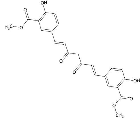 COC(=O)c1cc(C=CC(=O)CC(=O)C=Cc2ccc(O)c(C(=O)OC)c2)ccc1O